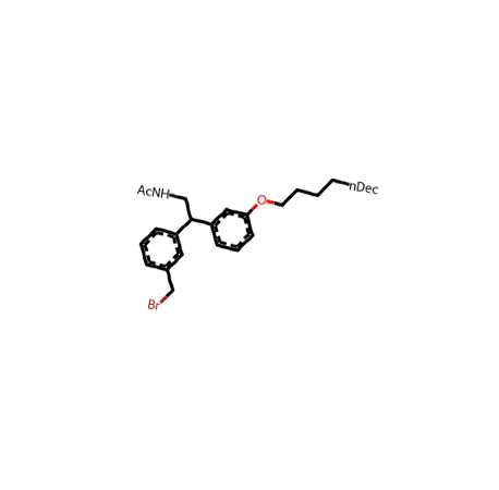 CCCCCCCCCCCCCCOc1cccc(C(CNC(C)=O)c2cccc(CBr)c2)c1